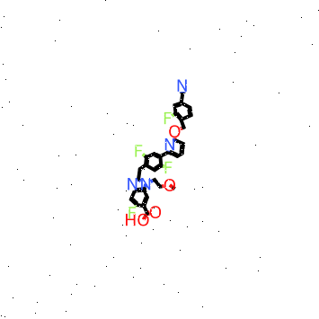 COCCn1c(Cc2cc(F)c(-c3cccc(OCc4ccc(C#N)cc4F)n3)cc2F)nc2cc(F)c(C(=O)O)cc21